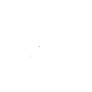 CC(C)CN(C(=O)NC(Cc1ccc(-c2ccccc2)cc1)C(=O)Oc1ccc2c(c1)CCC2)C(C)(O)C(=O)O